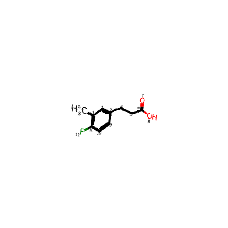 Cc1cc(CCC(=O)O)ccc1F